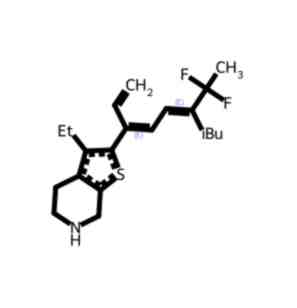 C=C/C(=C\C=C(/C(C)CC)C(C)(F)F)c1sc2c(c1CC)CCNC2